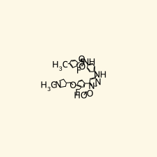 Cc1ccc(S(=O)(=O)Nc2ccc(Nc3cc(-c4ccc(OCC5CCN(C)CC5)c(F)c4)ncn3)cc2)c(F)c1.O=CO